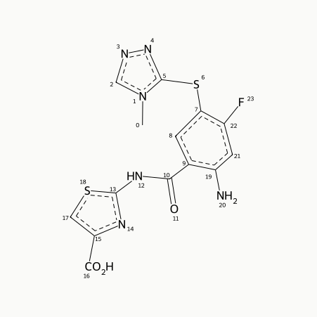 Cn1cnnc1Sc1cc(C(=O)Nc2nc(C(=O)O)cs2)c(N)cc1F